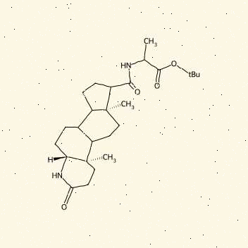 CC(NC(=O)C1CCC2C3CC[C@H]4NC(=O)CC[C@]4(C)C3CC[C@]12C)C(=O)OC(C)(C)C